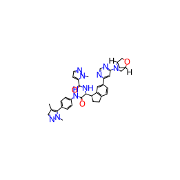 Cc1cnn(C)c1-c1ccc(NC(=O)[C@@H](NC(=O)c2ccnn2C)[C@@H]2CCc3ccc(-c4cc(N5C[C@@H]6C[C@H]5CO6)ncn4)cc32)cc1